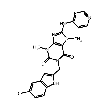 Cn1c(Nc2ccncn2)nc2c1c(=O)n(Cc1cc3cc(Cl)ccc3[nH]1)c(=O)n2C